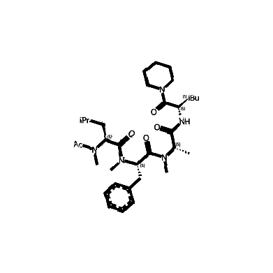 CC[C@H](C)[C@H](NC(=O)[C@H](C)N(C)C(=O)[C@H](Cc1ccccc1)N(C)C(=O)[C@H](CC(C)C)N(C)C(C)=O)C(=O)N1CCCCC1